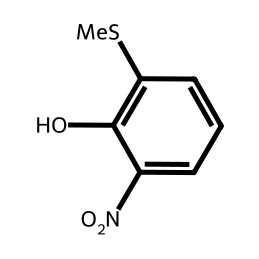 CSc1cccc([N+](=O)[O-])c1O